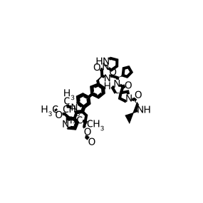 CCn1c(-c2cccnc2[C@H](C)OC)c(CC(C)(C)COC=O)c2cc(-c3cccc(C[C@H](NC(=O)[C@H](C4CCCC4)N4CC[C@]5(CCN(C(=O)[C@@H]6N[C@@H]6C6CC6)C5)C4=O)C(=O)N4CCCCN4)c3)ccc21